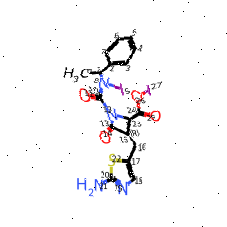 CC(c1ccccc1)N(I)C(=O)N1C(=O)[C@H](Cc2cnc(N)s2)C1C(=O)OI